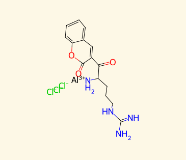 N=C(N)NCCCC(N)C(=O)c1cc2ccccc2oc1=O.[Al+3].[Cl-].[Cl-].[Cl-]